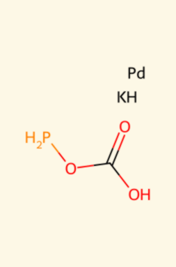 O=C(O)OP.[KH].[Pd]